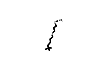 CC(C)(C)CCCCOCCCO[SiH3]